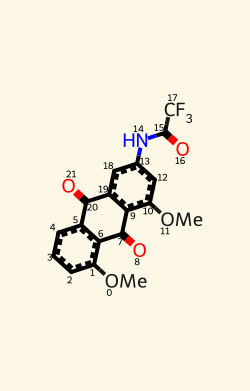 COc1cccc2c1C(=O)c1c(OC)cc(NC(=O)C(F)(F)F)cc1C2=O